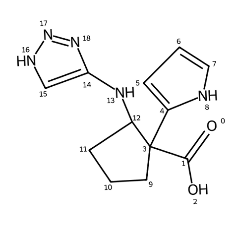 O=C(O)C1(c2ccc[nH]2)CCCC1Nc1c[nH]nn1